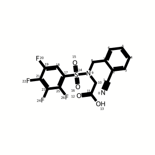 N#Cc1ccccc1CN(CC(=O)O)S(=O)(=O)c1cc(F)c(F)c(F)c1F